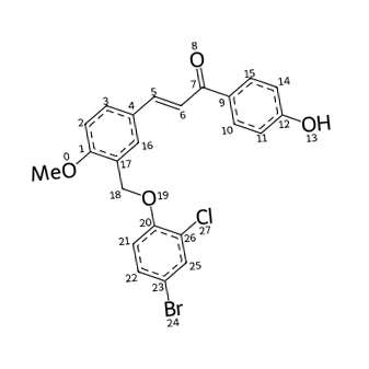 COc1ccc(C=CC(=O)c2ccc(O)cc2)cc1COc1ccc(Br)cc1Cl